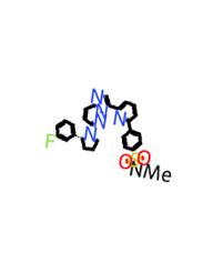 CNS(=O)(=O)c1ccc(-c2cccc(-c3cnc4ccc(N5CCC[C@@H]5c5cccc(F)c5)nn34)n2)cc1